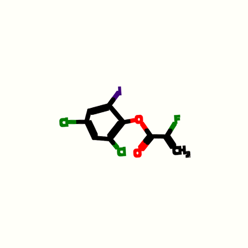 C=C(F)C(=O)Oc1c(Cl)cc(Cl)cc1I